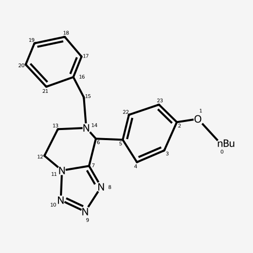 CCCCOc1ccc(C2c3nnnn3CCN2Cc2ccccc2)cc1